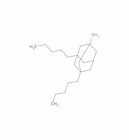 CCCCCC12CC3CC(N)(C1)CC(CCCCC)(C3)C2